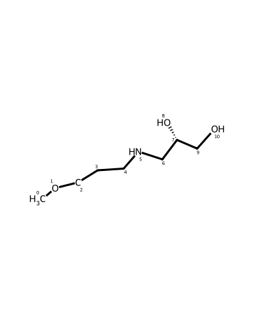 COCCCNC[C@H](O)CO